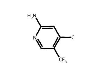 Nc1cc(Cl)c(C(F)(F)F)cn1